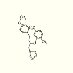 COc1ccc(CCC(Cn2ccnc2)Oc2cc(C)ccc2C)cc1